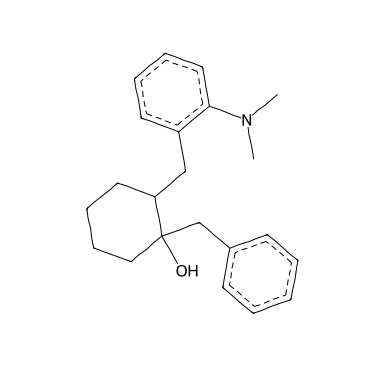 CN(C)c1ccccc1CC1CCCCC1(O)Cc1ccccc1